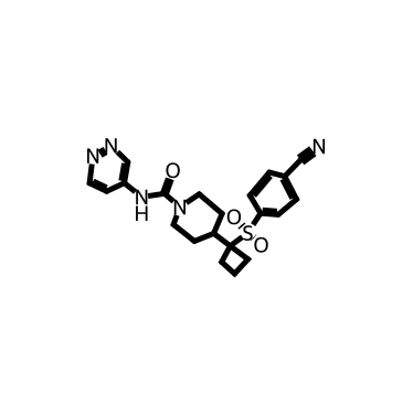 N#Cc1ccc(S(=O)(=O)C2(C3CCN(C(=O)Nc4ccnnc4)CC3)CCC2)cc1